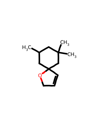 CC1CC(C)(C)CC2(C=CCO2)C1